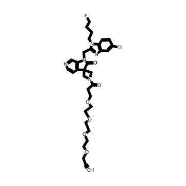 C#CCOCCOCCOCCOCCC(=O)N1CC2(C1)C(=O)N(Cc1nc3cc(Cl)ccc3n1CCCCF)c1cnccc12